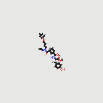 CCCN(CCCCO[Si](C)(C)C(C)(C)C)C(=O)c1cccc(C(=O)N[C@@H](Cc2ccc(O)cc2)C(=O)OC)c1